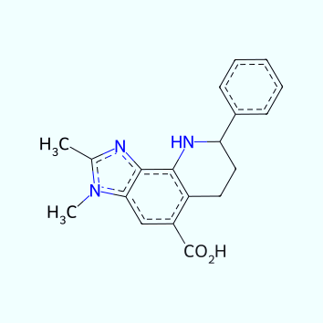 Cc1nc2c3c(c(C(=O)O)cc2n1C)CCC(c1ccccc1)N3